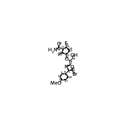 COc1ccc(-c2nc(C(CO)Oc3ccc(F)c(C(N)=O)c3F)oc2Br)cc1